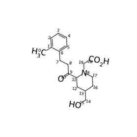 Cc1ccccc1CCC(=O)C1CC(CO)CCN1CC(=O)O